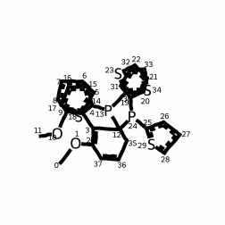 COC1=C(c2ccccc2OC)C(P(c2cccs2)c2cccs2)(P(c2cccs2)c2cccs2)CC=C1